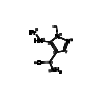 CC(C)Nc1c(C(N)=O)cnn1C